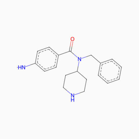 [NH]c1ccc(C(=O)N(Cc2ccccc2)C2CCNCC2)cc1